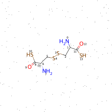 NC(CSSC[C@H](N)C(=O)S)C(=O)S